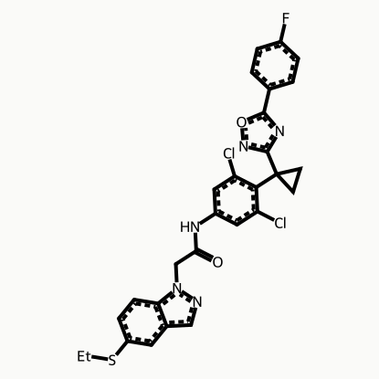 CCSc1ccc2c(cnn2CC(=O)Nc2cc(Cl)c(C3(c4noc(-c5ccc(F)cc5)n4)CC3)c(Cl)c2)c1